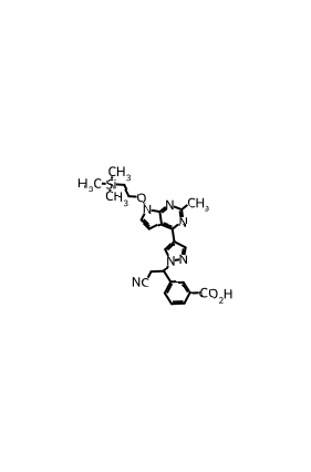 Cc1nc(-c2cnn(C(CC#N)c3cccc(C(=O)O)c3)c2)c2ccn(OCC[Si](C)(C)C)c2n1